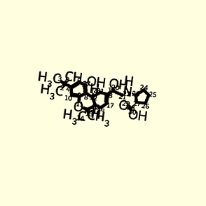 CC(C)(C)c1cc(O)c2c(c1)OC(C)(C)[C@@H]1CC=C(C(O)CN[C@@H]3CCC[C@@H]3C(=O)O)C[C@@H]21